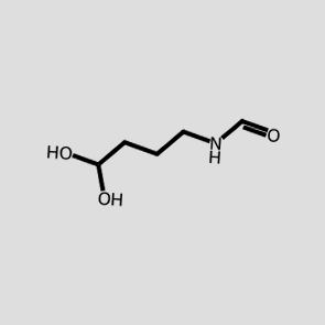 O=CNCCCC(O)O